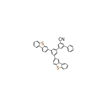 N#Cc1cc(-c2ccccc2)cc(-c2cc(-c3ccc4c(c3)sc3ccccc34)cc(-c3ccc4sc5ccccc5c4c3)c2)c1